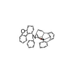 C1=CC2c3cccc4c3-c3cccc(N(c5ccccc5)c5cccc6oc7ccccc7c56)c3C(=C1)C2c1ccccc1-4